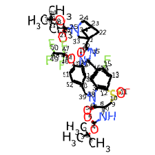 CC(C)(C)OC(=O)N[C@H]1C[S+]([O-])c2cc(F)c(-c3noc(C45CC(CN(C(=O)OC(C)(C)C)C4)C5)n3)cc2N(Cc2ccc(OC(F)(F)C(F)F)cc2)C1=O